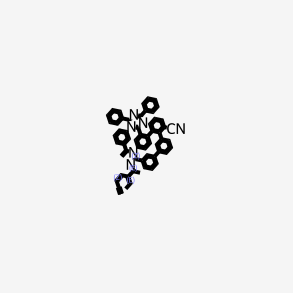 C#C\C=C/C(=C\C)C(/C)=N/C(=N\C(=C)c1ccccc1)c1cccc(-c2cccc(-c3c(C#N)cccc3-c3ccccc3-c3nc(-c4ccccc4)nc(-c4ccccc4)n3)c2)c1